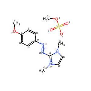 COS(=O)(=O)[O-].COc1ccc(/N=N/c2n(C)cc[n+]2C)cc1